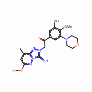 CCOc1cc(C)c2nn(CC(=O)c3cc(N4CCOCC4)c(OC)c(C(C)(C)C)c3)c(=N)n2n1